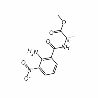 COC(=O)[C@H](C)NC(=O)c1cccc([N+](=O)[O-])c1N